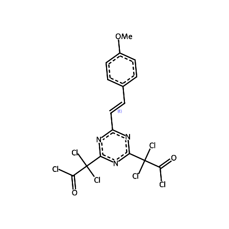 COc1ccc(/C=C/c2nc(C(Cl)(Cl)C(=O)Cl)nc(C(Cl)(Cl)C(=O)Cl)n2)cc1